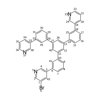 Brc1cncc(-c2cccc(-c3cc(-c4cccc(-c5cccnc5)c4)cc(-c4cccc(-c5cccnc5)c4)c3)c2)c1